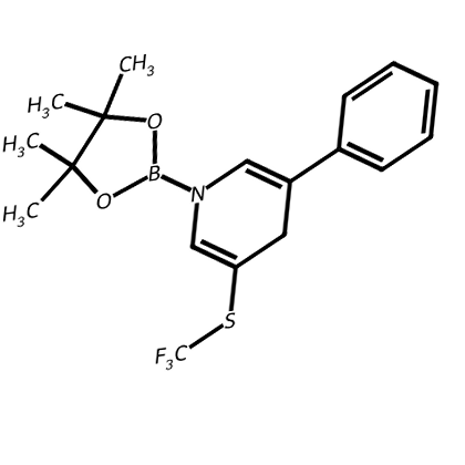 CC1(C)OB(N2C=C(SC(F)(F)F)CC(c3ccccc3)=C2)OC1(C)C